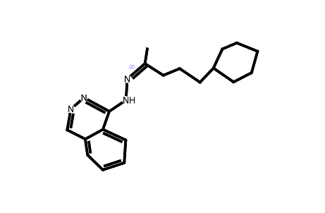 C/C(CCCC1CCCCC1)=N/Nc1nncc2ccccc12